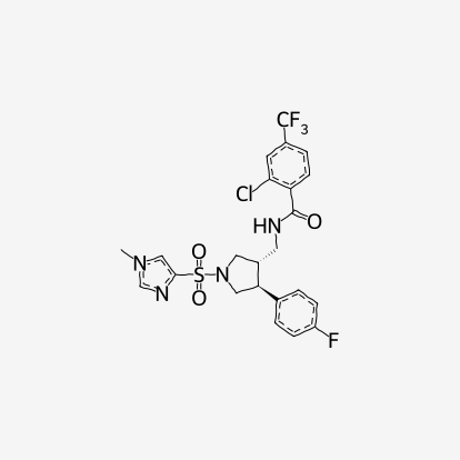 Cn1cnc(S(=O)(=O)N2C[C@H](CNC(=O)c3ccc(C(F)(F)F)cc3Cl)[C@@H](c3ccc(F)cc3)C2)c1